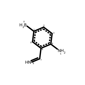 Bc1ccc(N)c(C=N)c1